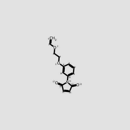 C=COCCOc1cccc(N2C(=O)C=CC2=O)c1